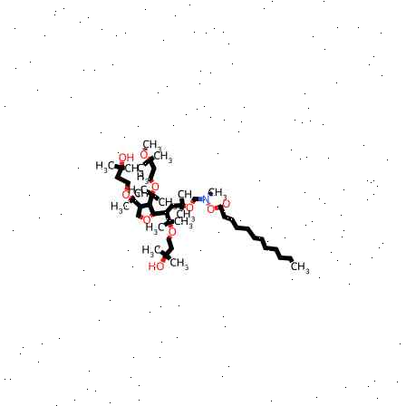 CCCCCCCCCCCC(=O)ON(C)COC(C)(C)CC(C1OCC(C(C)(C)OCCC(C)(C)O)C1C(C)(C)OCCC(C)(C)OC)C(C)(C)OCCC(C)(C)O